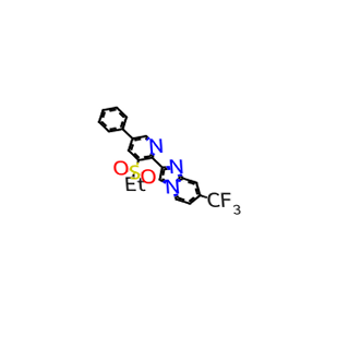 CCS(=O)(=O)c1cc(-c2ccccc2)cnc1-c1cn2ccc(C(F)(F)F)cc2n1